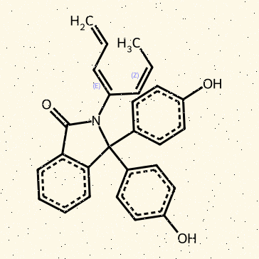 C=C/C=C(\C=C/C)N1C(=O)c2ccccc2C1(c1ccc(O)cc1)c1ccc(O)cc1